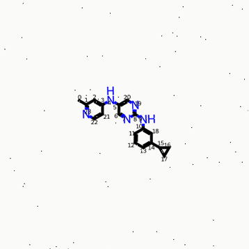 Cc1cc(Nc2cnc(Nc3cccc(C4CC4)c3)nc2)ccn1